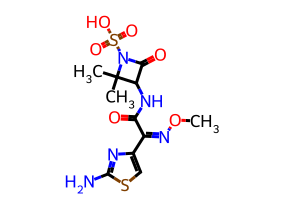 CO/N=C(\C(=O)NC1C(=O)N(S(=O)(=O)O)C1(C)C)c1csc(N)n1